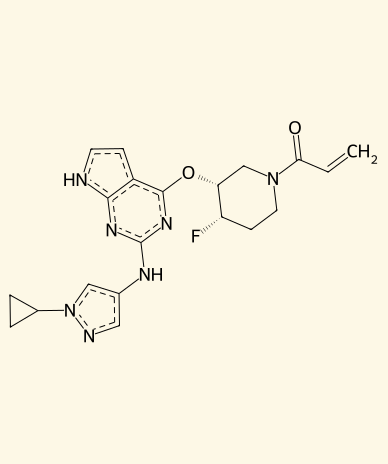 C=CC(=O)N1CC[C@H](F)[C@H](Oc2nc(Nc3cnn(C4CC4)c3)nc3[nH]ccc23)C1